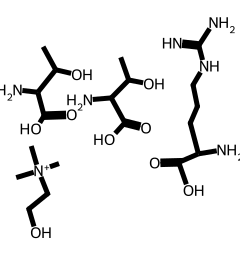 CC(O)C(N)C(=O)O.CC(O)C(N)C(=O)O.C[N+](C)(C)CCO.N=C(N)NCCCC(N)C(=O)O